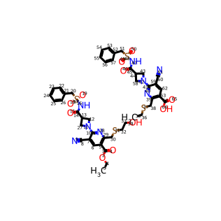 CCOC(=O)c1cc(C#N)c(N2CC(C(=O)NS(=O)(=O)Cc3ccccc3)C2)nc1CSCCO.CCSCc1nc(N2CC(C(=O)NS(=O)(=O)Cc3ccccc3)C2)c(C#N)cc1C(=O)O